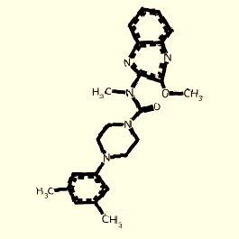 COc1nc2ccccc2nc1N(C)C(=O)N1CCN(c2cc(C)cc(C)c2)CC1